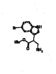 CC(C)(C)OC(=O)C(CN)c1c[nH]c2ccc(Br)cc12